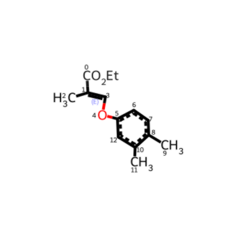 CCOC(=O)/C(C)=C/Oc1ccc(C)c(C)c1